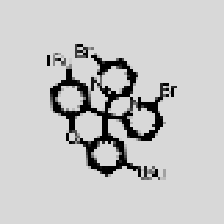 CC(C)(C)c1ccc2c(c1)C(c1cccc(Br)n1)(c1cccc(Br)n1)c1cc(C(C)(C)C)ccc1O2